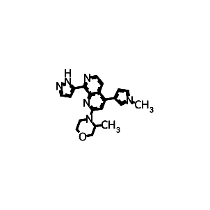 CC1COCCN1c1cc(-c2ccn(C)c2)c2ccnc(-c3ccn[nH]3)c2n1